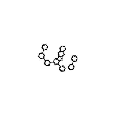 c1ccc(-c2cccc(-c3cccc(-c4nc(-c5cccc(-c6cccc(-c7ccccc7)c6)c5)c5oc6cc7ccccc7cc6c5n4)c3)c2)cc1